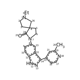 CCN1CCC2(CCN(c3ccc4[nH]nc(-c5ccnc(C)c5)c4c3)C2=O)C1